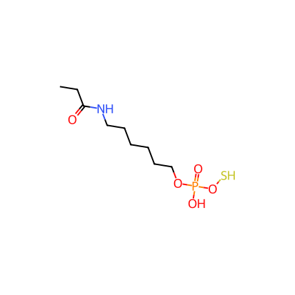 CCC(=O)NCCCCCCOP(=O)(O)OS